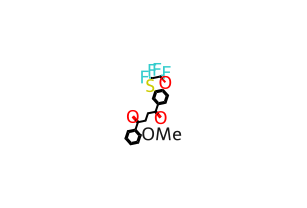 COc1ccccc1C(=O)CCC(=O)c1ccc2c(c1)SC(F)(F)C(F)(F)O2